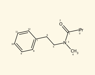 CC(C)C(=O)N(C)CCc1ccccc1